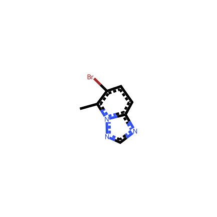 Cc1c(Br)ccc2ncnn12